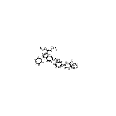 CC[C@@H](C)n1nc(N2CCOCC2)c2cnc(Nc3ccnc(N4CC[C@](C)(O)[C@H](F)C4)n3)cc21